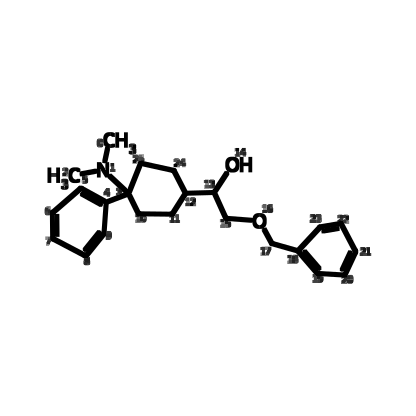 CN(C)C1(c2ccccc2)CCC(C(O)COCc2ccccc2)CC1